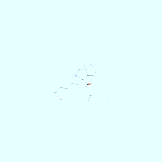 CCOC(=O)OC(C)OC(=O)[C@]1(CCCCB(O)O)NC[C@@H]2NCC[C@@H]21